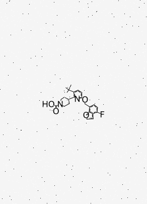 CC(C)(C)c1ccc(OCc2ccc(F)c3ccoc23)nc1C1CCN(C(=O)O)CC1